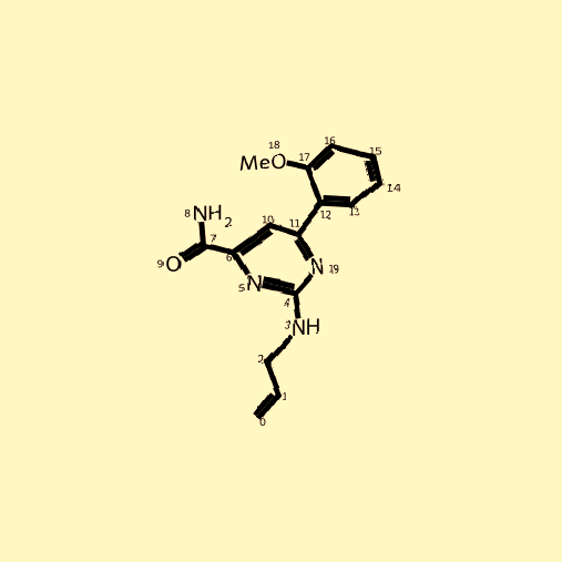 C=CCNc1nc(C(N)=O)cc(-c2ccccc2OC)n1